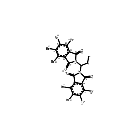 CCC(N1C(=O)c2c(Br)c(Br)c(Br)c(Br)c2C1=O)N1C(=O)c2c(Br)c(Br)c(Br)c(Br)c2C1=O